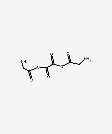 NCC(=O)OC(=O)C(=O)OC(=O)CN